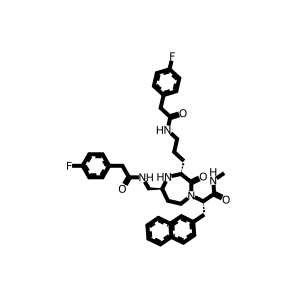 CNC(=O)[C@H](Cc1ccc2ccccc2c1)N1CC[C@@H](CNC(=O)Cc2ccc(F)cc2)N[C@H](CCCNC(=O)Cc2ccc(F)cc2)C1=O